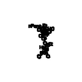 CCCCC[C@@H](C(=O)NCNC(=O)c1ccc(-c2ccc(C(=O)N[C@@H](CC(=O)OCc3ccccc3)C(=O)OCc3ccccc3)c(OCC)c2)o1)[C@@H](CC)N(C=O)OC(=O)c1c(C)cccc1F